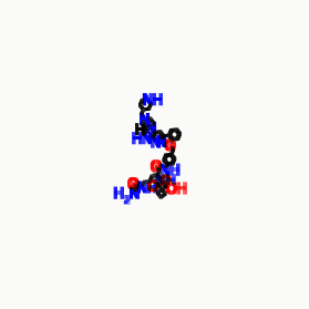 NC(=O)NCCC[C@H](NC(=O)C1(C(=O)O)CCC1)C(=O)Nc1ccc(COc2ccccc2-c2cc3c(nn2)NC[C@H]2CN(CC4CCNCC4)CCN32)cc1